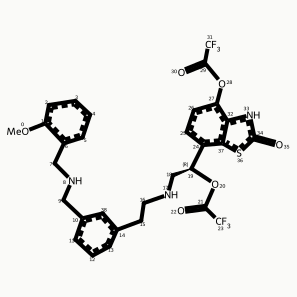 COc1ccccc1CNCc1cccc(CCNC[C@H](OC(=O)C(F)(F)F)c2ccc(OC(=O)C(F)(F)F)c3[nH]c(=O)sc23)c1